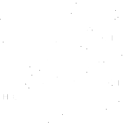 CN=Cc1ccc(OC)c(OC)c1